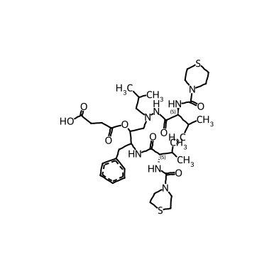 CC(C)CN(CC(OC(=O)CCC(=O)O)C(Cc1ccccc1)NC(=O)[C@@H](NC(=O)N1CCSCC1)C(C)C)NC(=O)[C@@H](NC(=O)N1CCSCC1)C(C)C